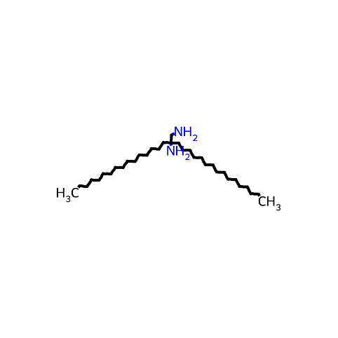 CCCCCCCCCCCCCCCCC(N)(CN)CCCCCCCCCCCCCCCC